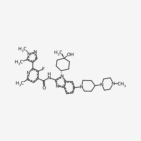 Cc1cc(C(=O)Nc2nc3ccc(N4CCC(N5CCN(C)CC5)CC4)cc3n2[C@H]2CC[C@@](C)(O)CC2)c(F)c(-c2cnn(C)c2C)n1